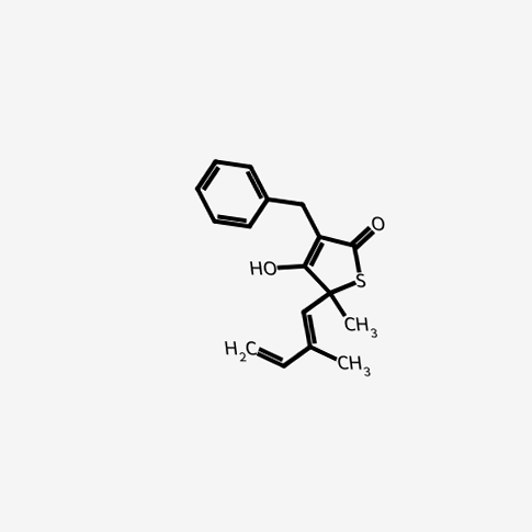 C=C/C(C)=C/C1(C)SC(=O)C(Cc2ccccc2)=C1O